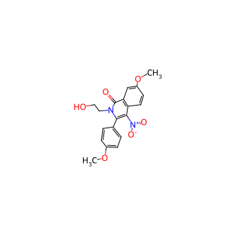 COc1ccc(-c2c([N+](=O)[O-])c3ccc(OC)cc3c(=O)n2CCO)cc1